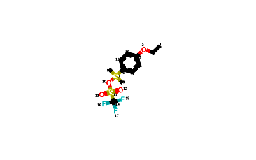 CCOc1ccc(S(C)(C)OS(=O)(=O)C(F)(F)F)cc1